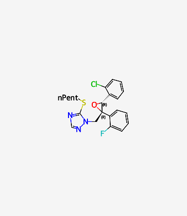 CCCCCSc1ncnn1C[C@@]1(c2ccccc2F)O[C@@H]1c1ccccc1Cl